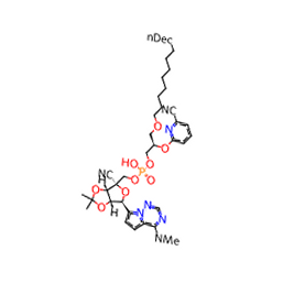 CCCCCCCCCCCCCCCCCCOC[C@H](COP(=O)(O)OC[C@@]1(C#N)O[C@@H](c2ccc3c(NC)ncnn23)[C@@H]2OC(C)(C)O[C@@H]21)Oc1cccc(C#N)n1